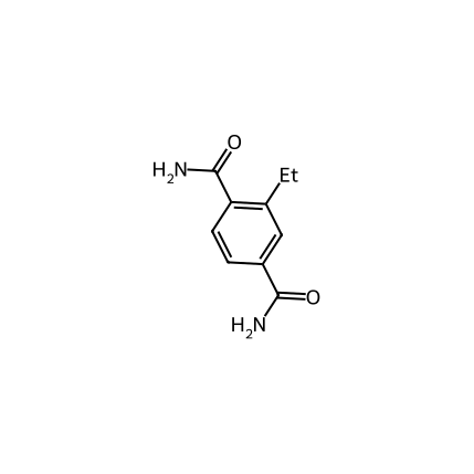 CCc1cc(C(N)=O)ccc1C(N)=O